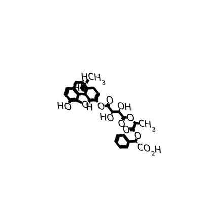 CC(OC(=O)[C@H](O)[C@@H](O)C(=O)OC1=CC[C@@]2(O)[C@H]3Cc4ccc(O)c5c4[C@@]2(CCN3C)[C@H]1O5)C(=O)O[C@H](C(=O)O)c1ccccc1